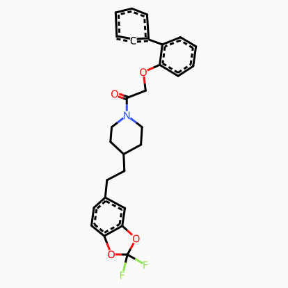 O=C(COc1ccccc1-c1ccccc1)N1CCC(CCc2ccc3c(c2)OC(F)(F)O3)CC1